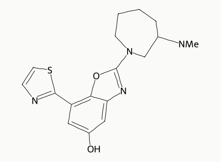 CNC1CCCCN(c2nc3cc(O)cc(-c4nccs4)c3o2)C1